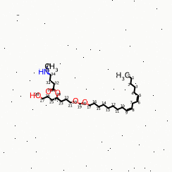 CCCCC/C=C\C/C=C\CCCCCCCCOCOCCCC(CCCO)OC(=O)CCCNC